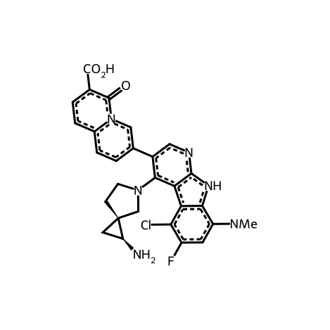 CNc1cc(F)c(Cl)c2c1[nH]c1ncc(-c3ccc4ccc(C(=O)O)c(=O)n4c3)c(N3CC[C@@]4(C[C@@H]4N)C3)c12